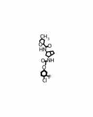 CC1COC(C(=O)NC2C[C@H](NC(=O)COc3ccc(Cl)c(F)c3)C3CCC23)C1